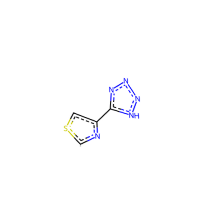 [c]1nc(-c2nnn[nH]2)cs1